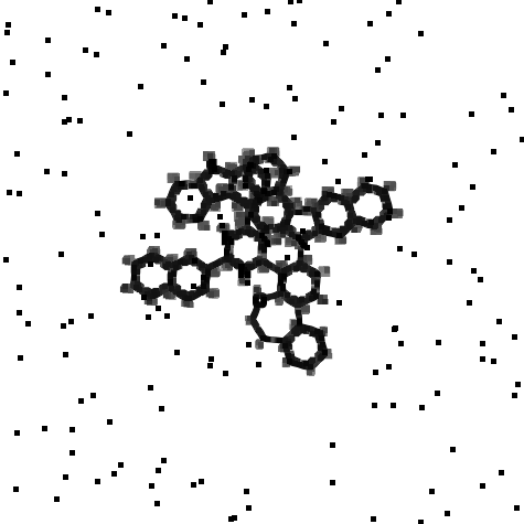 c1ccc2c(c1)CCOc1c-2ccc(-n2c3cc4ccccc4cc3c3c4ccccc4ccc32)c1-c1nc(-c2ccc3ccccc3c2)nc(-c2cccc3sc4ccccc4c23)n1